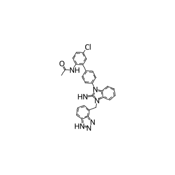 CC(=O)Nc1ccc(Cl)cc1-c1ccc(-n2c(=N)n(Cc3cccc4[nH]nnc34)c3ccccc32)cc1